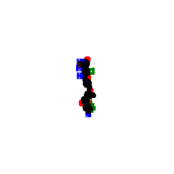 CCc1cc(N2C(=S)N(c3ccc(C#N)c(C(F)(F)F)c3)C(=O)C2(C)C)ccc1OCCC1CCN(CC(=O)Nc2cc(Cl)cc(NC3CCC(=O)NC3=O)c2)CC1